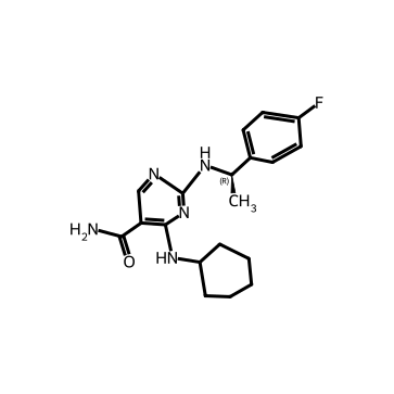 C[C@@H](Nc1ncc(C(N)=O)c(NC2CCCCC2)n1)c1ccc(F)cc1